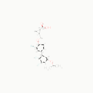 CC(C)Oc1cc(F)c(F)c(-c2ccc(OCC3CC3C(=O)O)c(F)c2)c1